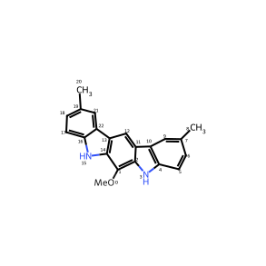 COc1c2[nH]c3ccc(C)cc3c2cc2c1[nH]c1ccc(C)cc12